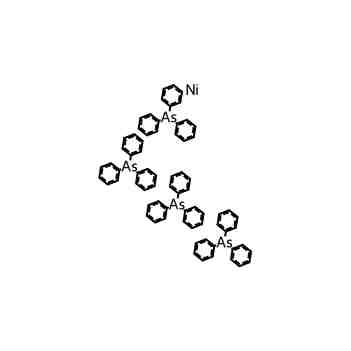 [Ni].c1ccc([As](c2ccccc2)c2ccccc2)cc1.c1ccc([As](c2ccccc2)c2ccccc2)cc1.c1ccc([As](c2ccccc2)c2ccccc2)cc1.c1ccc([As](c2ccccc2)c2ccccc2)cc1